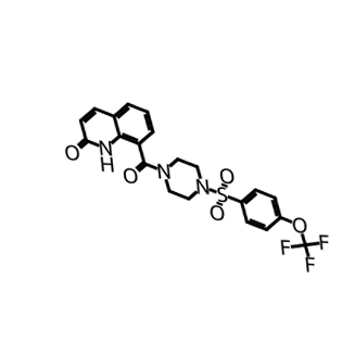 O=C(c1cccc2ccc(=O)[nH]c12)N1CCN(S(=O)(=O)c2ccc(OC(F)(F)F)cc2)CC1